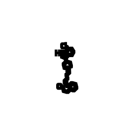 O=C1CCc2ccccc2N1CCCCN1CCC(c2c[nH]c3c(Cl)cccc23)CC1